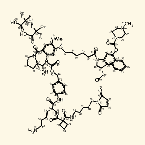 COc1cc2c(cc1OCCCCCC(=O)N1C[C@@H](CCl)c3c1cc(OC(=O)N1CCN(C)CC1)c1ccccc31)N(C(=O)OCc1ccc(NC(=O)[C@H](CCCCN)NC(=O)C3(C(=O)NCCCCCN4C(=O)C=CC4=O)CCC3)cc1)C(O)[C@@H]1CCCN1C2=O.O=C(O)C(F)(F)F.O=C(O)C(F)(F)F